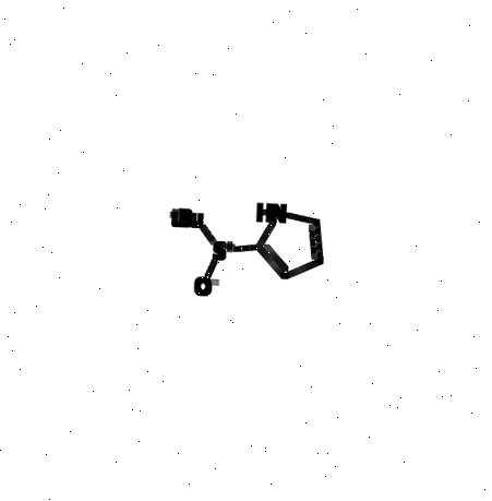 CC(C)(C)[S+]([O-])c1ccc[nH]1